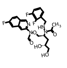 CC(=O)N(NCc1cccc(F)c1F)[C@H](CON(C=O)c1cc2cc(F)ccc2cn1)C[C@@H](O)CO